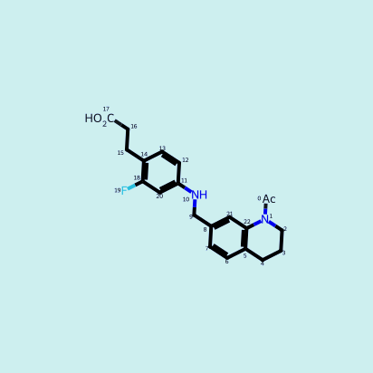 CC(=O)N1CCCc2ccc(CNc3ccc(CCC(=O)O)c(F)c3)cc21